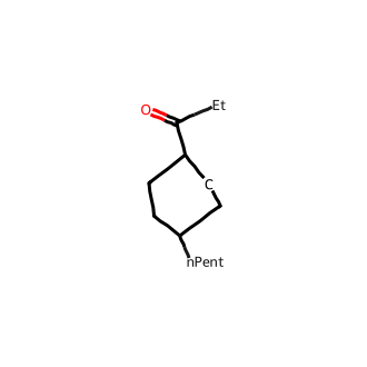 CCCCCC1CCC(C(=O)CC)CC1